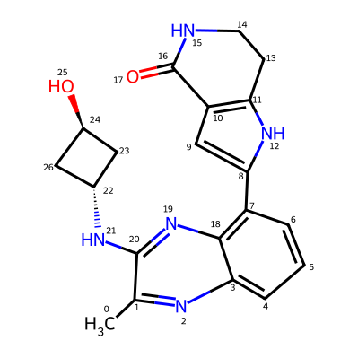 Cc1nc2cccc(-c3cc4c([nH]3)CCNC4=O)c2nc1N[C@H]1C[C@H](O)C1